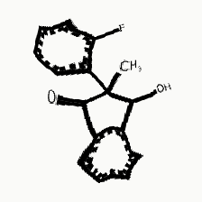 CC1(c2ccccc2F)C(=O)c2ccccc2C1O